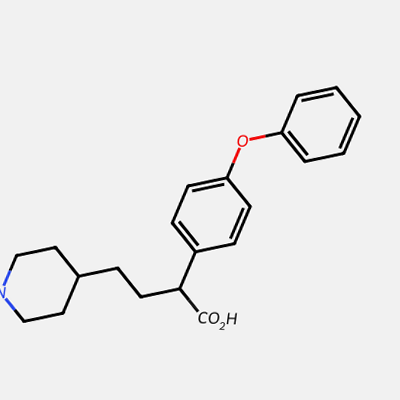 O=C(O)C(CCC1CCNCC1)c1ccc(Oc2ccccc2)cc1